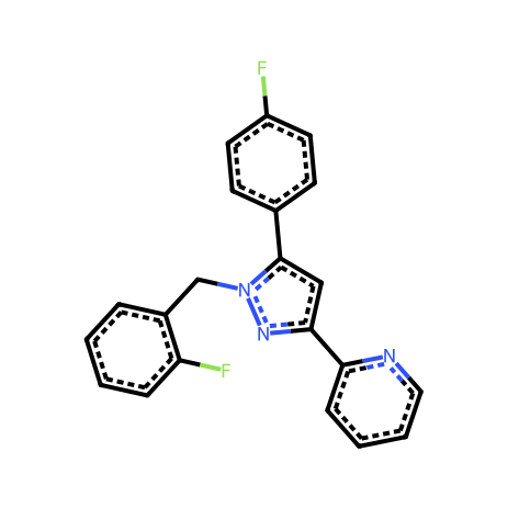 Fc1ccc(-c2cc(-c3ccccn3)nn2Cc2ccccc2F)cc1